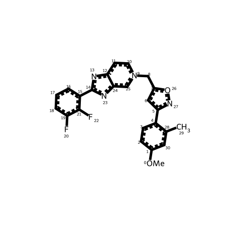 COc1ccc(-c2cc(Cn3ccc4nc(-c5cccc(F)c5F)nc-4c3)on2)c(C)c1